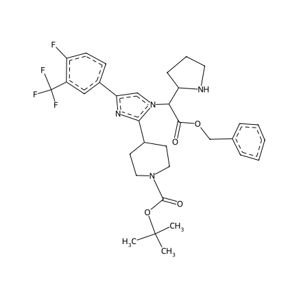 CC(C)(C)OC(=O)N1CCC(c2nc(-c3ccc(F)c(C(F)(F)F)c3)cn2C(C(=O)OCc2ccccc2)C2CCCN2)CC1